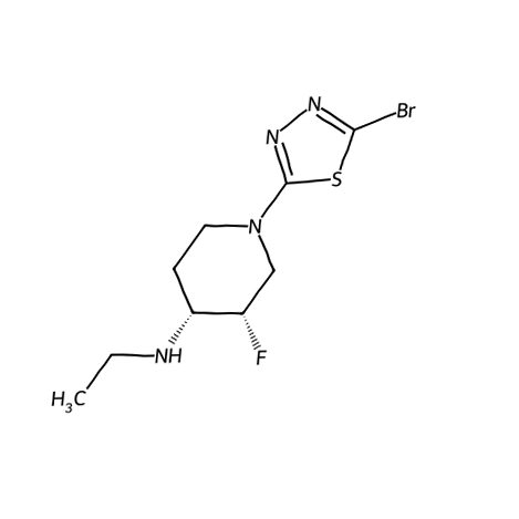 CCN[C@@H]1CCN(c2nnc(Br)s2)C[C@@H]1F